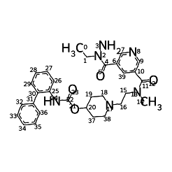 CCN(N)C(=O)c1cncc(C(=O)N(C)CCN2CCC(OC(=O)Nc3ccccc3-c3ccccc3)CC2)c1